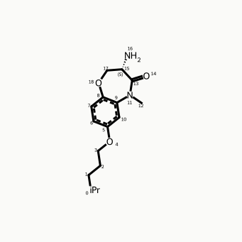 CC(C)CCCOc1ccc2c(c1)N(C)C(=O)[C@@H](N)CO2